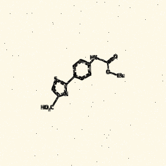 CC(C)(C)OC(=O)Nc1ccc(-c2nc(C(=O)O)cs2)cc1